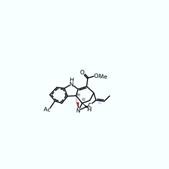 C/C=C1/CN2CC[C@]34C(=C(C(=O)OC)C1C[C@H]23)Nc1ccc(C(C)=O)cc14